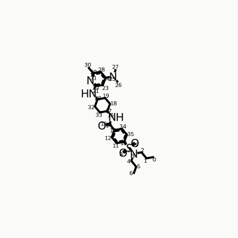 CCCN(CCC)S(=O)(=O)c1ccc(C(=O)NC2CCC(Nc3cc(N(C)C)cc(C)n3)CC2)cc1